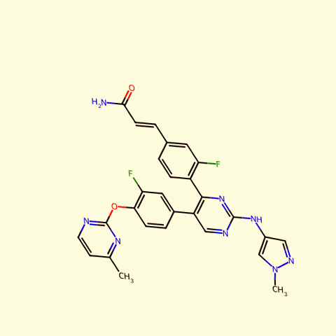 Cc1ccnc(Oc2ccc(-c3cnc(Nc4cnn(C)c4)nc3-c3ccc(C=CC(N)=O)cc3F)cc2F)n1